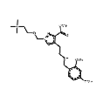 COC(=O)c1nn(COCC[Si](C)(C)C)cc1CCNCc1ccc(OC)cc1OC